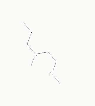 CCCN(C)C[C@H](C)NC